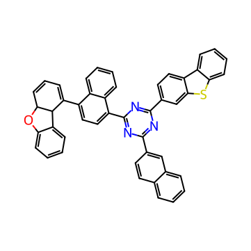 C1=CC2Oc3ccccc3C2C(c2ccc(-c3nc(-c4ccc5ccccc5c4)nc(-c4ccc5c(c4)sc4ccccc45)n3)c3ccccc23)=C1